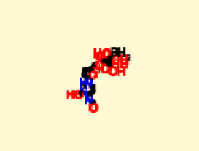 BC(O)(O)C(C(=O)OCC1CCC(N(C)/C=C\C(=N/C=O)NO)O1)C(O)(O)O